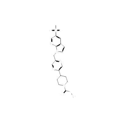 CC(C)OC(=O)N1CCC(c2cnc(Cn3ccc4cc(S(C)(=O)=O)cnc43)cn2)CC1